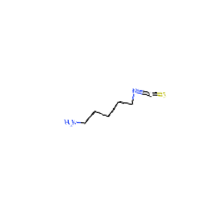 NCCCCCN=C=S